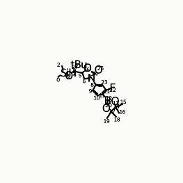 C[SiH](C)O[C@@H](C1CN(c2ccc(B3OC(C)(C)C(C)(C)O3)c(F)c2)C(=O)O1)C(C)(C)C